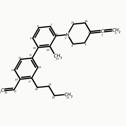 C=C=C1CCN(c2cccc(-c3ccc(C=C)c(CCCC)c3)c2C)CC1